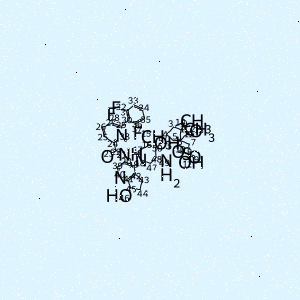 CC1(C)C2CCC1(CS(=O)(=O)O)C(=O)C2.C[C@H]1CN(c2c(NC(=O)c3ccc(F)c(-c4c(F)cccc4F)n3)cnc3c2CC[C@H]3O)C[C@@H](N)[C@@H]1O